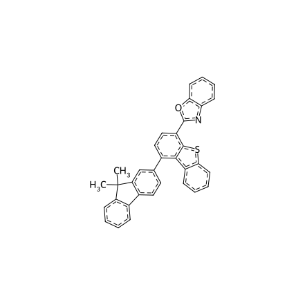 CC1(C)c2ccccc2-c2ccc(-c3ccc(-c4nc5ccccc5o4)c4sc5ccccc5c34)cc21